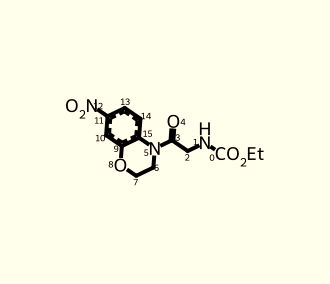 CCOC(=O)NCC(=O)N1CCOc2cc([N+](=O)[O-])ccc21